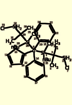 CCCC[Si](C)(C(C)(C)[SiH2]Cl)[Zr]([C]1=CC=CC1)([c]1ccccc1)([c]1ccccc1)[Si](C)(CCCC)C(C)(C)[SiH2]Cl